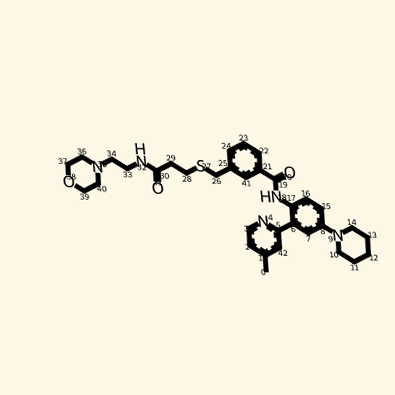 Cc1ccnc(-c2cc(N3CCCCC3)ccc2NC(=O)c2cccc(CSCCC(=O)NCCN3CCOCC3)c2)c1